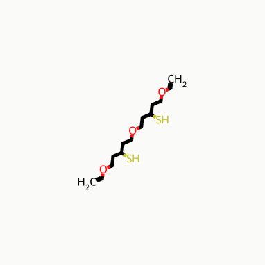 C=COCCC(S)CCOCCC(S)CCOC=C